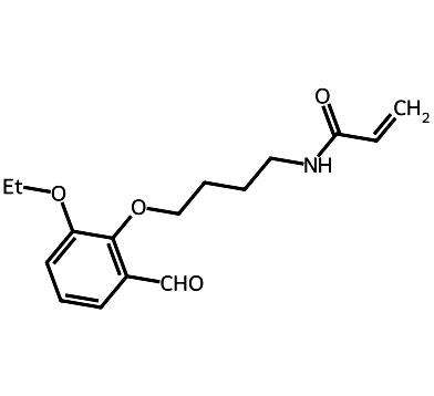 C=CC(=O)NCCCCOc1c(C=O)cccc1OCC